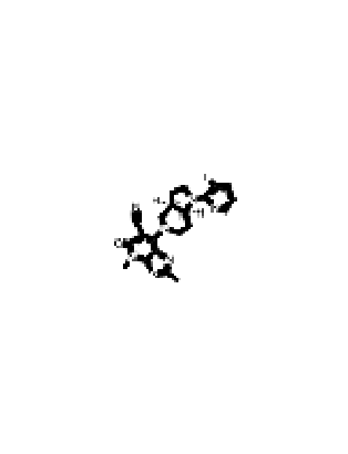 Cc1nc2c(N3CC[C@H]4[C@H](CCN4c4ncccc4F)C3)c(C#N)c(=O)n(C)c2s1